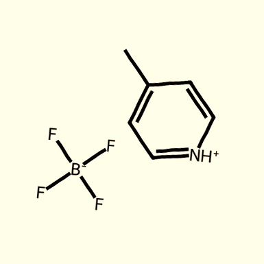 Cc1cc[nH+]cc1.F[B-](F)(F)F